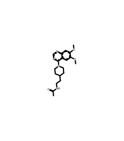 COc1cc2ncnc(N3CCC(CCNC(C)=O)CC3)c2cc1OC